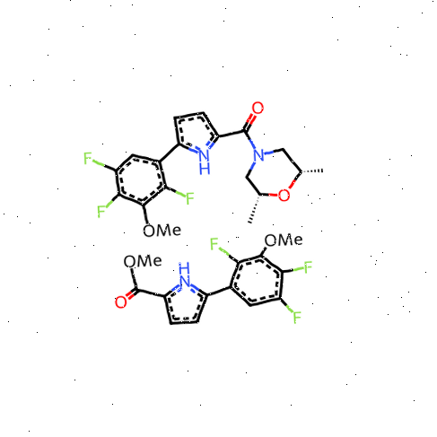 COC(=O)c1ccc(-c2cc(F)c(F)c(OC)c2F)[nH]1.COc1c(F)c(F)cc(-c2ccc(C(=O)N3C[C@@H](C)O[C@@H](C)C3)[nH]2)c1F